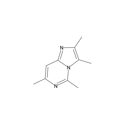 Cc1cc2nc(C)c(C)n2c(C)n1